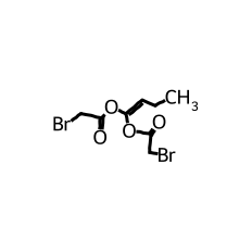 CCC=C(OC(=O)CBr)OC(=O)CBr